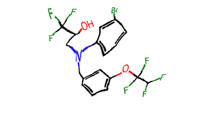 OC(CN(Cc1cccc(OC(F)(F)C(F)F)c1)c1cccc(Br)c1)C(F)(F)F